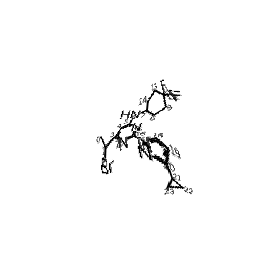 CC(Br)c1cc(NC2CCC(F)(F)CC2)nc(-n2ccc(C3CC3)n2)n1